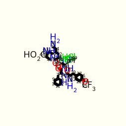 CC(C)C[C@@H](NC(=O)[C@@H](Cc1ccccc1)NC(=O)[C@H](N)Cc1ccc(OC(F)(F)F)cc1)C(=O)N[C@H](CCCCN)C(=O)N1CCC(N)(C(=O)O)CC1.Cl.Cl.Cl